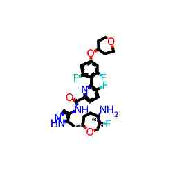 N[C@@H]1CC[C@@H](Cc2[nH]ncc2NC(=O)c2ccc(F)c(-c3c(F)cc(OC4CCOCC4)cc3F)n2)OC[C@@H]1F